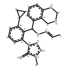 CC=NOC(c1cccc2c1COCO2)c1c(C2CC2)cccc1-n1nnn(C)c1=O